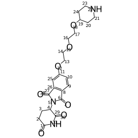 O=C1CCC(N2C(=O)c3ccc(OCCOCCOC4CCNCC4)cc3C2=O)C(=O)N1